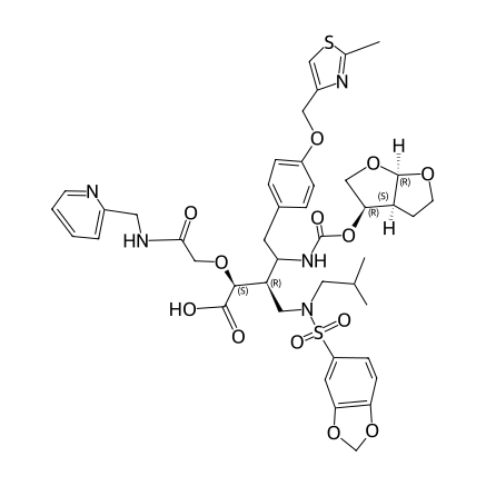 Cc1nc(COc2ccc(CC(NC(=O)O[C@H]3CO[C@H]4OCC[C@H]43)[C@@H](CN(CC(C)C)S(=O)(=O)c3ccc4c(c3)OCO4)[C@H](OCC(=O)NCc3ccccn3)C(=O)O)cc2)cs1